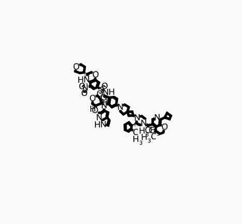 Cc1ccccc1[C@@H]1CN([C@@H](C)c2cnc(C3CCC3)c3c2C(C)(C)CCO3)CCN1C1CC2(CCN(c3ccc(C(=O)NS(=O)(=O)c4cc5c(c([N+](=O)[O-])c4)N[C@H](C4CCOCC4)CO5)c(N4c5cc6cc[nH]c6nc5O[C@H]5COCC[C@@H]54)c3)CC2)C1